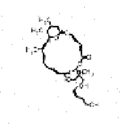 CC1=C\[C@H]2O[C@@H](C/C=C/C=C/C(=O)O[C@@H]3C[C@@H](/C=C/C\C=C\1)O[C@@H](C/C=C\CCO)[C@]3(C)CO)C[C@H](C)[C@H]2C